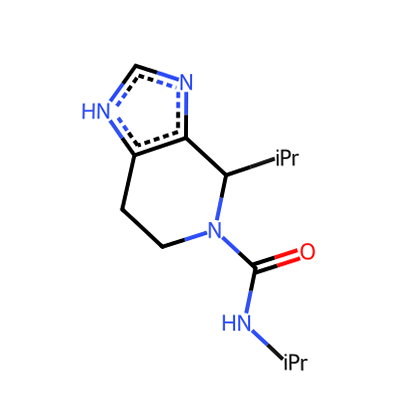 CC(C)NC(=O)N1CCc2[nH]cnc2C1C(C)C